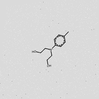 Cc1ccc([N+](CCO)CCO)cc1